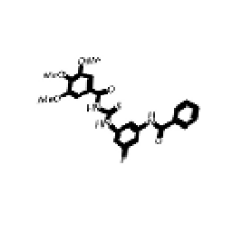 COc1cc(C(=O)NC(=S)Nc2cc(F)cc(NC(=O)c3ccccc3)c2)cc(OC)c1OC